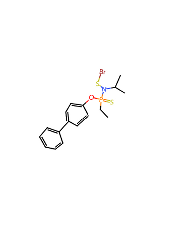 CCP(=S)(Oc1ccc(-c2ccccc2)cc1)N(SBr)C(C)C